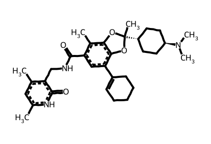 Cc1cc(C)c(CNC(=O)c2cc(C3=CCCCC3)c3c(c2C)OC(C)([C@H]2CC[C@H](N(C)C)CC2)O3)c(=O)[nH]1